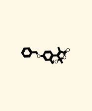 CC1=C(c2ccc(OCc3ccccc3)cc2C)C(C)(O)OC1=O